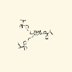 C=C(C)C(=O)OCCC[Si]([SiH3])(CCCOC(=O)C(=C)C)CCCOC(=O)C(=C)C